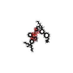 CCCCCCC(C)(CCC)C1CCC(C2CCCCC(CC3CCC3)CCC2)CCC(O[C@@H]2C[C@H](C)O[C@@H]2COP(=O)(OC2CCCCCC2)O[C@@H]2C[C@H](C)O[C@@H]2COC2CCCC(C(CCCCC)[C@@H](CC)CCCC)CC2)C1